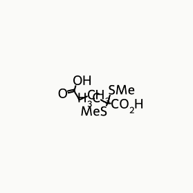 CCC(=O)O.CSC(C)(SC)C(=O)O